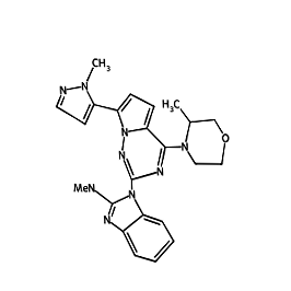 CNc1nc2ccccc2n1-c1nc(N2CCOCC2C)c2ccc(-c3ccnn3C)n2n1